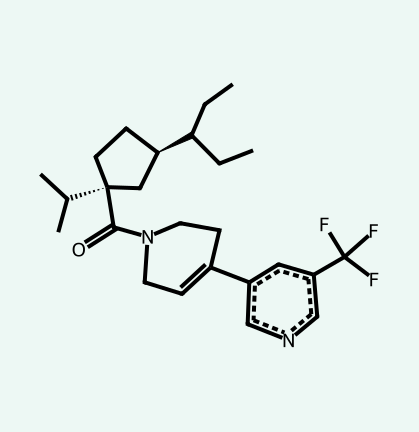 CCC(CC)[C@@H]1CC[C@@](C(=O)N2CC=C(c3cncc(C(F)(F)F)c3)CC2)(C(C)C)C1